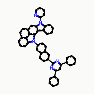 c1ccc(-c2cc(-c3ccccc3)nc(-c3ccc4cc(-n5c6cccc7ccc8cc9c(c%10ccccc%10n9-c9ccccn9)c5c8c76)ccc4c3)n2)cc1